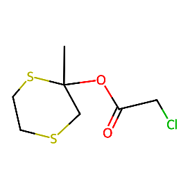 CC1(OC(=O)CCl)CSCCS1